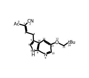 CC(=O)C(C#N)=CCc1c[nH]c2ncc(OCC(C)(C)C)cc12